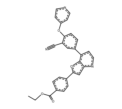 CCOC(=O)c1ccc(-c2cc3nccc(-c4ccc(Oc5ccncc5)c(C#N)c4)c3o2)cc1